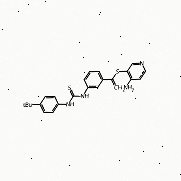 C=C(Sc1cnccc1N)c1cccc(NC(=S)Nc2ccc(C(C)(C)C)cc2)c1